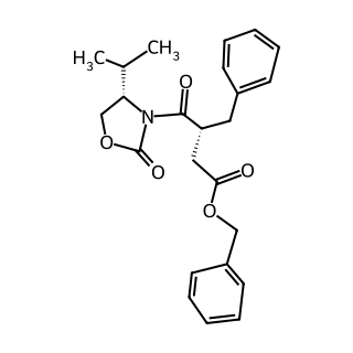 CC(C)[C@H]1COC(=O)N1C(=O)[C@@H](CC(=O)OCc1ccccc1)Cc1ccccc1